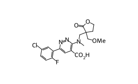 COCC1(CN(C)c2nnc(-c3cc(Cl)ccc3F)cc2C(=O)O)CCOC1=O